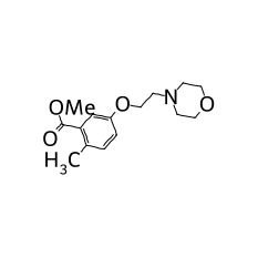 COC(=O)c1cc(OCCN2CCOCC2)ccc1C